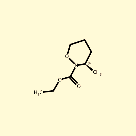 CCOC(=O)N1OCCC[C@H]1C